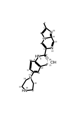 Cc1cn2cc(C(=O)Nc3ccc(N4CCNCC4)cc3F)ncc2n1.Cl